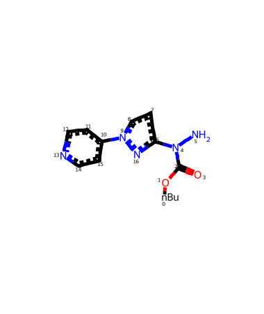 CCCCOC(=O)N(N)c1ccn(-c2ccncc2)n1